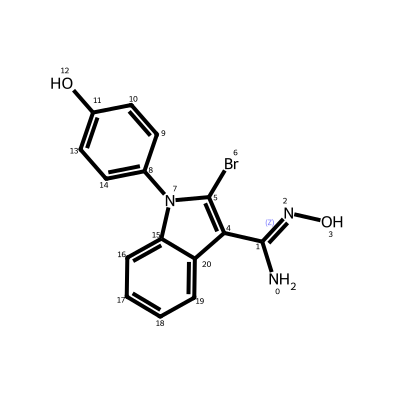 N/C(=N\O)c1c(Br)n(-c2ccc(O)cc2)c2ccccc12